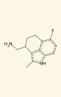 Cc1[nH]c2ccc(F)c3c2c1C(CN)CC3